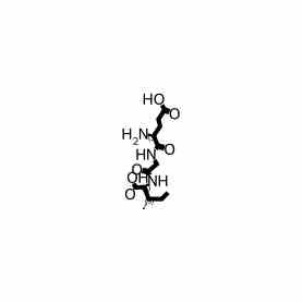 CC[C@H](C)[C@H](NC(=O)CNC(=O)[C@@H](N)CCC(=O)O)C(=O)O